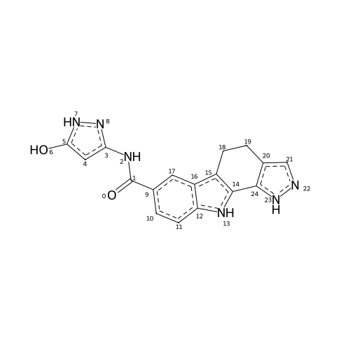 O=C(Nc1cc(O)[nH]n1)c1ccc2[nH]c3c(c2c1)CCc1cn[nH]c1-3